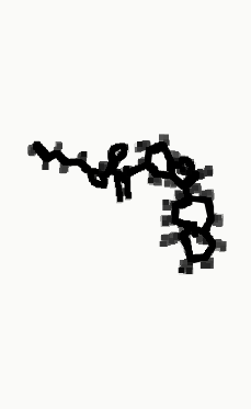 C=CCCCOC(=O)Nc1ccc2occ(C3=CCN4CCCCC4CC3)c2c1